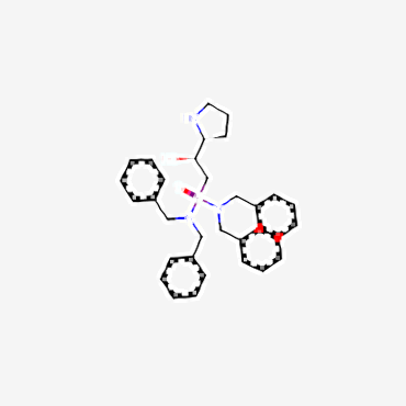 O=P(C[C@@H](O)[C@@H]1CCCN1)(N(Cc1ccccc1)Cc1ccccc1)N(Cc1ccccc1)Cc1ccccc1